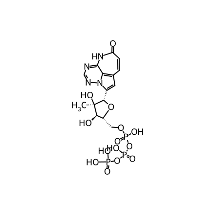 C[C@@]1(O)[C@H](O)[C@@H](COP(=O)(O)OP(=O)(O)OP(=O)(O)O)O[C@H]1c1cc2c3c(ncnn13)NC(=O)C=C2